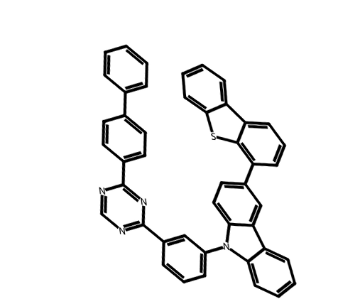 c1ccc(-c2ccc(-c3ncnc(-c4cccc(-n5c6ccccc6c6cc(-c7cccc8c7sc7ccccc78)ccc65)c4)n3)cc2)cc1